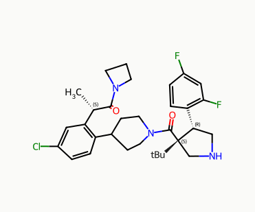 C[C@H](C(=O)N1CCC1)c1cc(Cl)ccc1C1CCN(C(=O)[C@@]2(C(C)(C)C)CNC[C@H]2c2ccc(F)cc2F)CC1